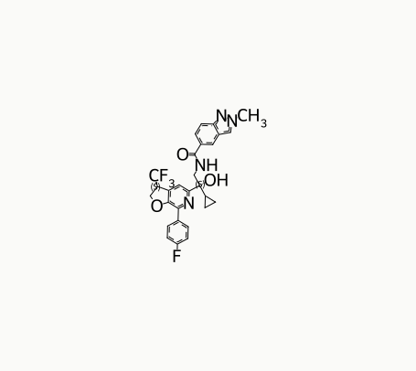 Cn1cc2cc(C(=O)NC[C@](O)(c3cc4c(c(-c5ccc(F)cc5)n3)OC[C@H]4C(F)(F)F)C3CC3)ccc2n1